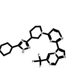 FC(F)(F)c1cn2c(-c3nccc(N4CCCC(c5n[nH]c(C6CCCCC6)n5)C4)n3)cnc2cn1